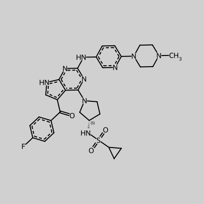 CN1CCN(c2ccc(Nc3nc(N4CC[C@H](NS(=O)(=O)C5CC5)C4)c4c(C(=O)c5ccc(F)cc5)c[nH]c4n3)cn2)CC1